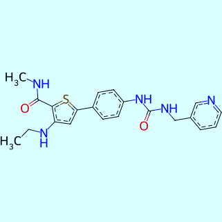 CCNc1cc(-c2ccc(NC(=O)NCc3cccnc3)cc2)sc1C(=O)NC